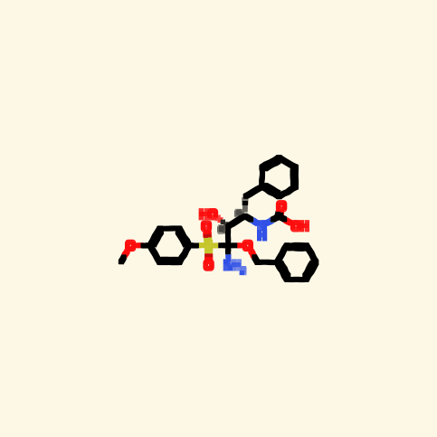 COc1ccc(S(=O)(=O)C(N)(OCc2ccccc2)[C@H](O)[C@H](Cc2ccccc2)NC(=O)O)cc1